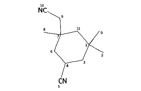 CC1(C)CC(C#N)CC(C)(CC#N)C1